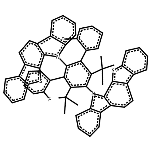 CC(C)(C)c1c(-c2ccccc2F)c(-n2c3ccccc3c3ccc4c5ccccc5sc4c32)c(-c2ccccc2F)c(C(C)(C)C)c1-n1c2ccccc2c2ccc3c4ccccc4sc3c21